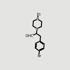 CCN1CCN(C(C=O)Cc2ccc(Br)cc2)CC1